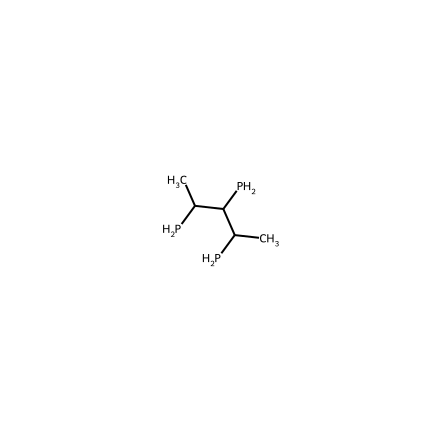 CC(P)C(P)C(C)P